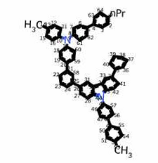 CCCc1ccc(-c2ccc(N(c3ccc(C)cc3)c3ccc(-c4cccc(-c5ccc6c(c5)c5cc(-c7ccccc7)ccc5n6-c5ccc(-c6ccc(C)cc6)cc5)c4)cc3)cc2)cc1